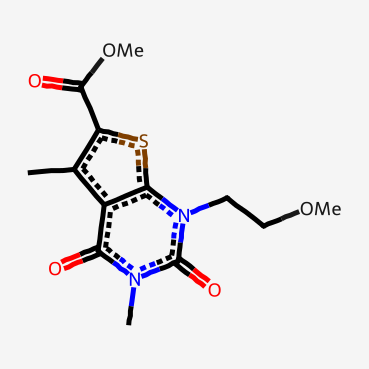 COCCn1c(=O)n(C)c(=O)c2c(C)c(C(=O)OC)sc21